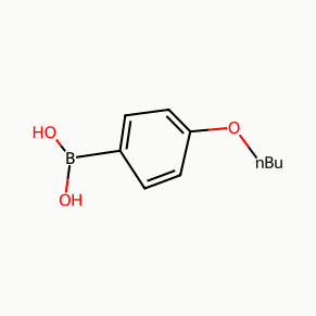 CCCCOc1ccc(B(O)O)cc1